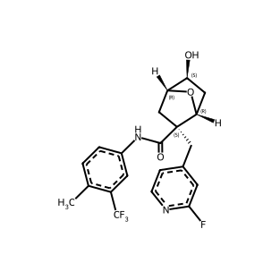 Cc1ccc(NC(=O)[C@@]2(Cc3ccnc(F)c3)C[C@H]3O[C@@H]2C[C@@H]3O)cc1C(F)(F)F